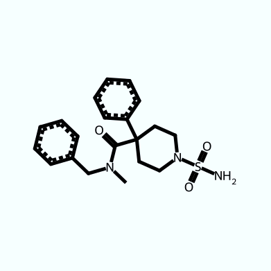 CN(Cc1ccccc1)C(=O)C1(c2ccccc2)CCN(S(N)(=O)=O)CC1